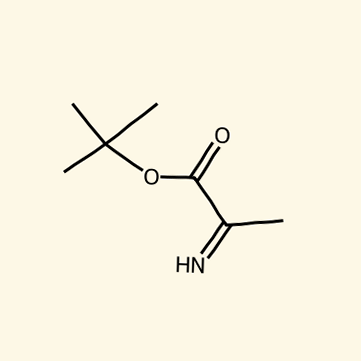 CC(=N)C(=O)OC(C)(C)C